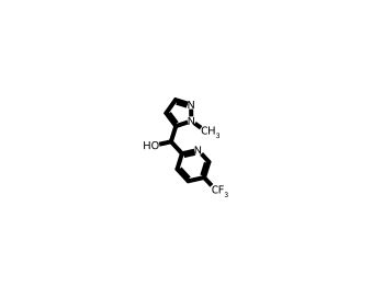 Cn1nccc1C(O)c1ccc(C(F)(F)F)cn1